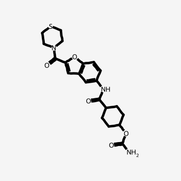 NC(=O)OC1CCC(C(=O)Nc2ccc3oc(C(=O)N4CCSCC4)cc3c2)CC1